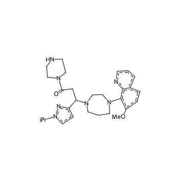 COc1ccc2cccnc2c1N1CCCN(C(CC(=O)N2CCNCC2)c2ccn(C(C)C)n2)CC1